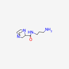 NCCCNC(=O)C1CN2CCN1CC2